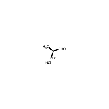 CCCN(C)C=O.Cl